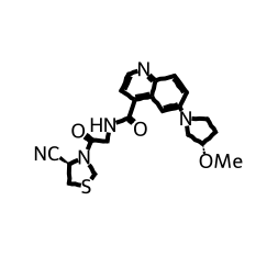 CO[C@H]1CCN(c2ccc3nccc(C(=O)NCC(=O)N4CSC[C@H]4C#N)c3c2)C1